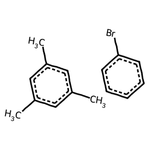 Brc1ccccc1.Cc1cc(C)cc(C)c1